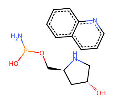 NP(O)OC[C@@H]1C[C@@H](O)CN1.c1ccc2ncccc2c1